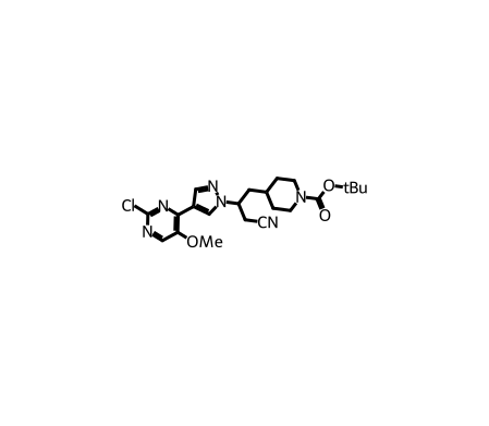 COc1cnc(Cl)nc1-c1cnn(C(CC#N)CC2CCN(C(=O)OC(C)(C)C)CC2)c1